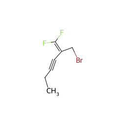 CCC#CC(CBr)=C(F)F